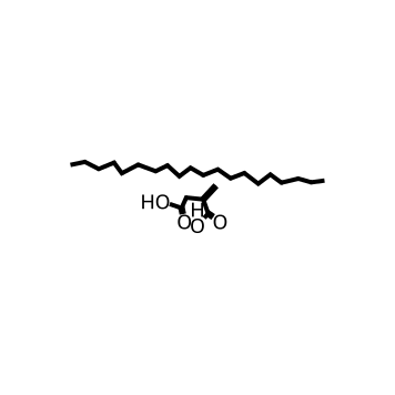 C=C(CC(=O)O)C(=O)O.CCCCCCCCCCCCCCCCCCCC